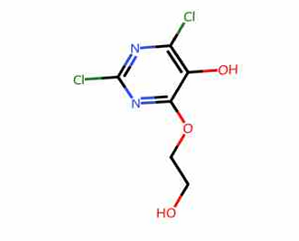 OCCOc1nc(Cl)nc(Cl)c1O